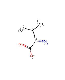 CC(C)[C@H](N)C(=O)[O-].[Li+]